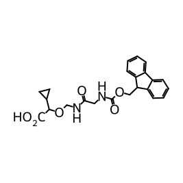 O=C(CNC(=O)OCC1c2ccccc2-c2ccccc21)NCOC(C(=O)O)C1CC1